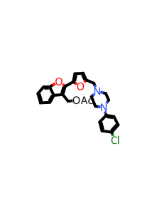 CC(=O)OCc1c(-c2ccc(CN3CCN(c4ccc(Cl)cc4)CC3)o2)oc2ccccc12